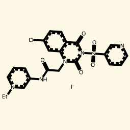 CC[n+]1cccc(NC(=O)Cn2c(=O)n(S(=O)(=O)c3cccnc3)c(=O)c3ccc(Cl)cc32)c1.[I-]